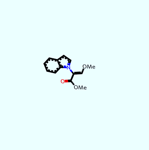 CO/C=C(/C(=O)OC)n1ccc2ccccc21